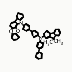 CC1(C)c2ccccc2-c2ccc(N(c3ccc(-c4ccccc4)cc3)c3ccc(-c4ccc(-n5c6ccccc6c6ccc7c(c65)Oc5ccccc5O7)cc4)cc3)cc21